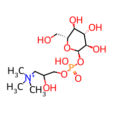 C[N+](C)(C)CC(O)COP(=O)(O)O[C@H]1O[C@H](CO)[C@@H](O)[C@H](O)[C@H]1O